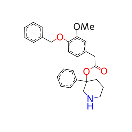 COc1cc(CC(=O)OC2(c3ccccc3)CCCNC2)ccc1OCc1ccccc1